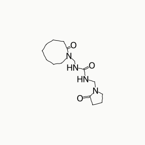 O=C(NCN1CCCCCCCC1=O)NCN1CCCC1=O